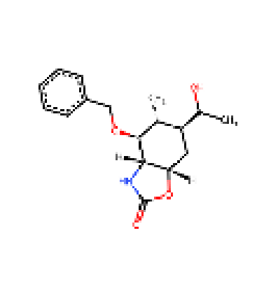 CC(O)[C@H]1C[C@@H]2OC(=O)N[C@@H]2[C@@H](OCc2ccccc2)[C@@H]1C